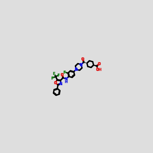 O=C(Nc1ccc(N2CCN(C(=O)[C@H]3CC[C@H](C(=O)O)CC3)CC2)cc1F)c1nc(-c2ccccc2)oc1C(F)(F)F